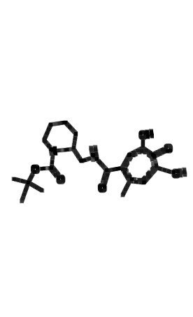 Cc1cc(O)c(=O)c(O)cc1C(=O)NCC1CCCCN1C(=O)OC(C)(C)C